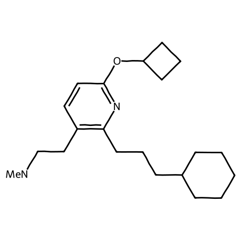 CNCCc1ccc(OC2CCC2)nc1CCCC1CCCCC1